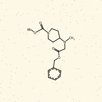 CN(CC(=O)OCc1ccccc1)C1CCN(C(=O)OC(C)(C)C)CC1